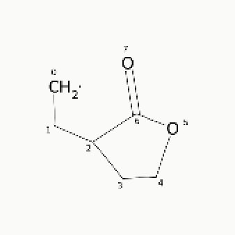 [CH2]CC1CCOC1=O